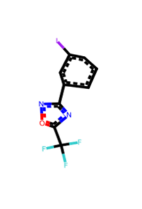 FC(F)(F)c1nc(-c2cccc(I)c2)no1